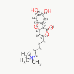 C[N+](C)(C)CCCCCc1cc2oc3cc(O)c(O)cc3c2c(=O)o1